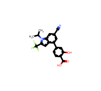 CC(C)n1c(C(F)(F)F)cc2c(-c3ccc(C(=O)O)c(O)c3)cc(C#N)cc21